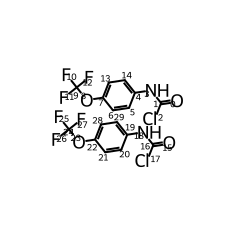 O=C(Cl)Nc1ccc(OC(F)(F)F)cc1.O=C(Cl)Nc1ccc(OC(F)(F)F)cc1